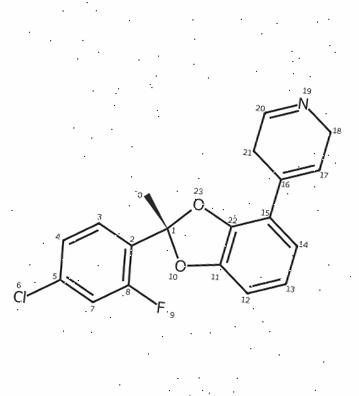 C[C@]1(c2ccc(Cl)cc2F)Oc2cccc(C3=CCN=CC3)c2O1